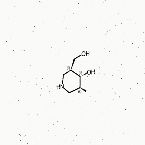 C[C@H]1CNC[C@@H](CO)[C@@H]1O